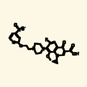 COc1c(N2CCN(CCOc3cc([N+](=O)[O-])ccn3)CC2)c(F)cc2c(=O)c(C(=O)O)cn(C3CC3)c12